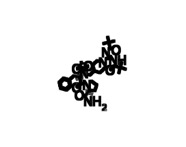 CC(C)(C)C(=O)N=C(NC(=O)C(C)(C)C)N1CCC(CN([C@H](Cc2ccccc2)C(=O)N2CCC[C@H]2C(N)=O)S(C)(=O)=O)CC1